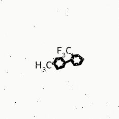 Cc1[c]cc(-c2ccccc2C(F)(F)F)cc1